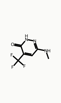 CNc1cc(C(F)(F)F)c(=O)[nH]n1